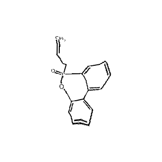 C=CCP1(=O)Oc2ccccc2-c2ccccc21